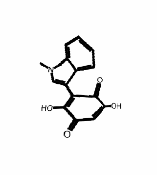 Cn1cc(C2=C(O)C(=O)C=C(O)C2=O)c2ccccc21